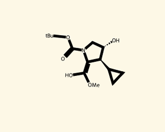 CO/C(O)=C1\[C@H](C2CC2)[C@@H](O)CN1C(=O)OC(C)(C)C